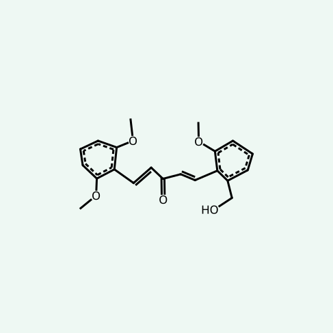 COc1cccc(CO)c1/C=C/C(=O)/C=C/c1c(OC)cccc1OC